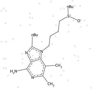 CCCCc1nc2c(N)nc(C)c(C)c2n1CCCC[S+]([O-])CCCC